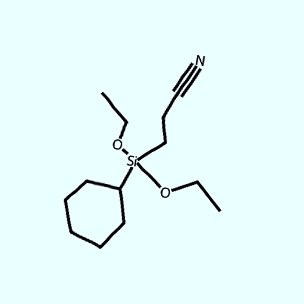 CCO[Si](CCC#N)(OCC)C1CCCCC1